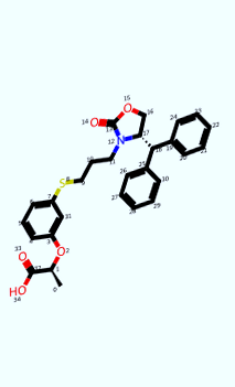 C[C@H](Oc1cccc(SCCCN2C(=O)OC[C@@H]2C(c2ccccc2)c2ccccc2)c1)C(=O)O